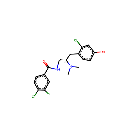 CN(C)[C@H](CNC(=O)c1ccc(Cl)c(F)c1)Cc1ccc(O)cc1Cl